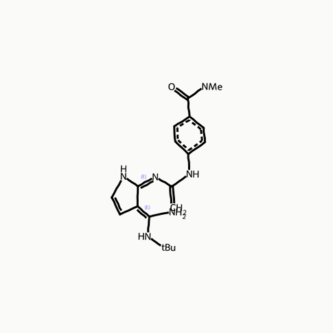 C=C(/N=C1/NC=C/C1=C(/N)NC(C)(C)C)Nc1ccc(C(=O)NC)cc1